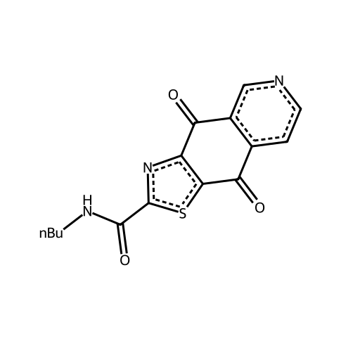 CCCCNC(=O)c1nc2c(s1)C(=O)c1ccncc1C2=O